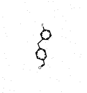 O=Cc1ccc(Cc2cccc(F)c2)cc1